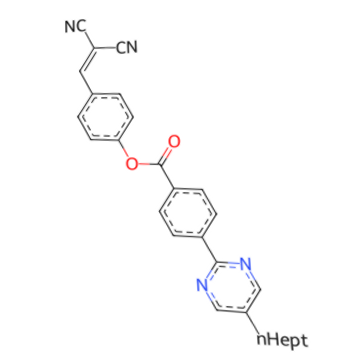 CCCCCCCc1cnc(-c2ccc(C(=O)Oc3ccc(C=C(C#N)C#N)cc3)cc2)nc1